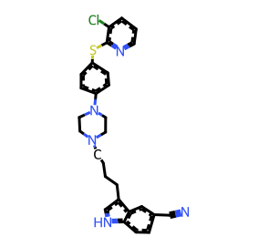 N#Cc1ccc2[nH]cc(CCCCN3CCN(c4ccc(Sc5ncccc5Cl)cc4)CC3)c2c1